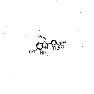 CCCc1ccc2c(nc(-c3ccc(P(=O)(O)O)o3)n2CC(C)C)c1N